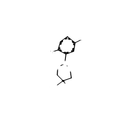 CC1(C)COB(c2cc(F)ccc2N)OC1